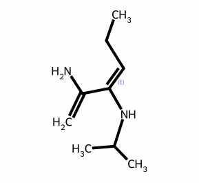 C=C(N)/C(=C\CC)NC(C)C